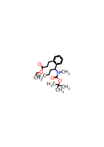 CCCC(c1ccccc1CCC(=O)OCC)N(C)C(=O)OC(C)(C)C